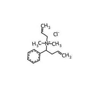 C=CCC(c1ccccc1)[N+](C)(C)CC=C.[Cl-]